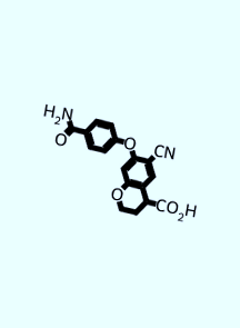 N#Cc1cc2c(cc1Oc1ccc(C(N)=O)cc1)OCCC2C(=O)O